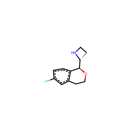 Fc1ccc2c(c1)CCO[C@@H]2[C@H]1CCN1